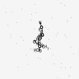 COc1cc(C(=O)O)cc2c1nc(CN1CCN(c3cccc(OCc4ccc(C#N)cc4F)n3)[C@@H]3CC[C@H]31)n2C[C@@H]1CCO1